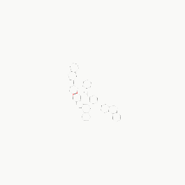 c1ccc(N(c2ccc(-c3ccc4c(ccc5ccccc54)c3)cc2)c2cccc3oc4c5ccccc5ccc4c23)c(-c2cccc3oc4cc5ccccc5cc4c23)c1